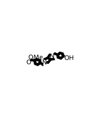 COC(=O)c1ccc(CN2CC3CN(Cc4ccc(O)cc4)CC3C2)cc1